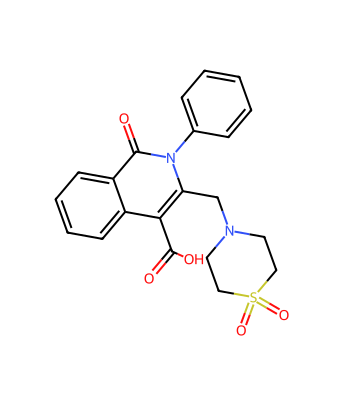 O=C(O)c1c(CN2CCS(=O)(=O)CC2)n(-c2ccccc2)c(=O)c2ccccc12